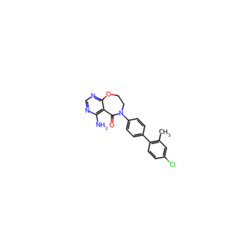 Cc1cc(Cl)ccc1-c1ccc(N2CCOc3ncnc(N)c3C2=O)cc1